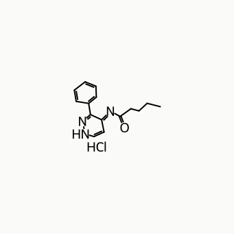 CCCCC(=O)N=c1cc[nH]nc1-c1ccccc1.Cl